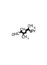 C=C(C=O)C(C)C/C=C(/C)C(C)C